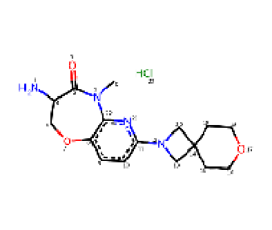 CN1C(=O)C(N)COc2ccc(N3CC4(CCOCC4)C3)nc21.Cl